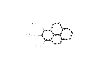 COc1c(C=O)c2ccc3cccc4ccc(c1OC)c2c34